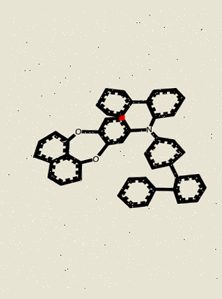 c1ccc(-c2ccccc2-c2ccc(N(c3ccc4c(c3)Oc3cccc5cccc(c35)O4)c3ccccc3-c3ccccc3)cc2)cc1